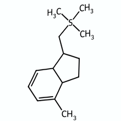 CC1=CC=CC2C(CS(C)(C)C)CCC12